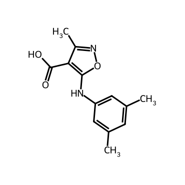 Cc1cc(C)cc(Nc2onc(C)c2C(=O)O)c1